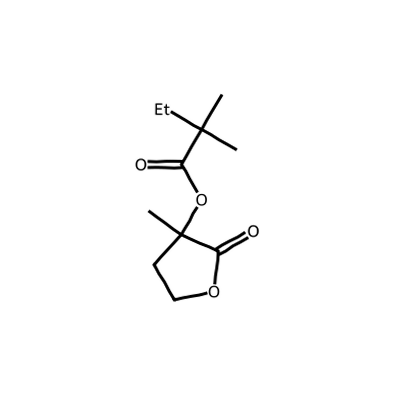 CCC(C)(C)C(=O)OC1(C)CCOC1=O